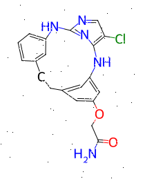 NC(=O)COc1cc2cc(c1)Nc1nc(ncc1Cl)Nc1cccc(c1)CC2